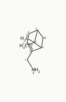 CC1(C)C2CC=C(CN)C1C2